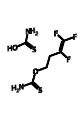 NC(=S)OCCC(F)=C(F)F.NC(O)=S